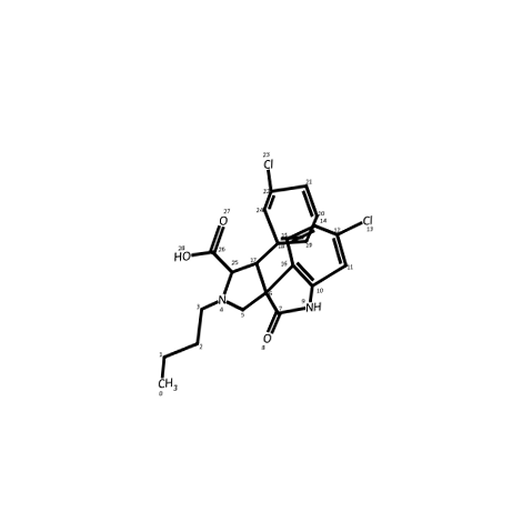 CCCCN1CC2(C(=O)Nc3cc(Cl)ccc32)C(c2cccc(Cl)c2)C1C(=O)O